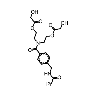 CC(C)C(=O)NCc1ccc(C(=O)N(CCOC(=O)CO)CCOC(=O)CO)cc1